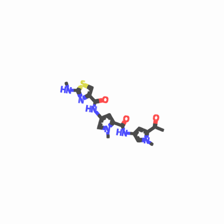 CNc1nc(C(=O)Nc2cc(C(=O)Nc3cc(C(C)=O)n(C)c3)n(C)c2)cs1